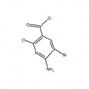 Nc1nc(Cl)c([N+](=O)[O-])cc1Br